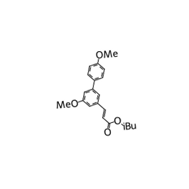 CCC(C)OC(=O)C=Cc1cc(OC)cc(-c2ccc(OC)cc2)c1